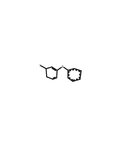 IC1C=C(Sc2ccccc2)C=CC1